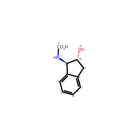 O=C(O)N[C@@H]1c2ccccc2C[C@H]1O